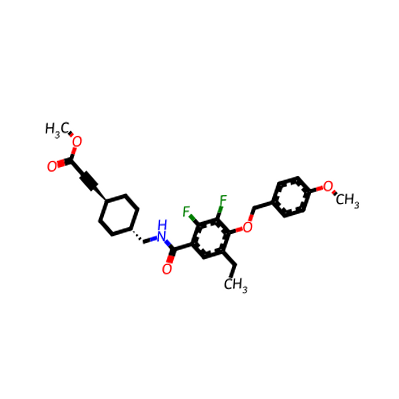 CCc1cc(C(=O)NC[C@H]2CC[C@H](C#CC(=O)OC)CC2)c(F)c(F)c1OCc1ccc(OC)cc1